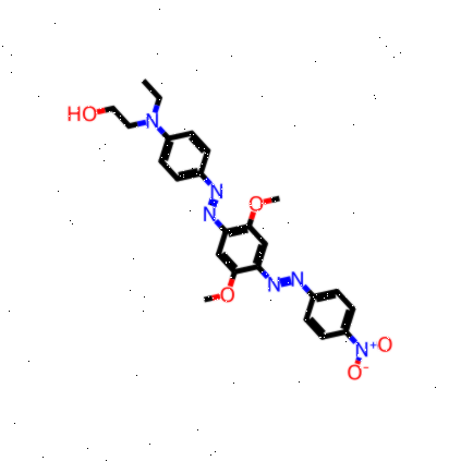 CCN(CCO)c1ccc(N=Nc2cc(OC)c(N=Nc3ccc([N+](=O)[O-])cc3)cc2OC)cc1